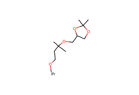 CC(C)OCCC(C)(C)OCC1COC(C)(C)O1